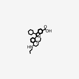 CCCN[C@@H]1CCN2CCn3c(c(C4CCCCC4)c4ccc(C(=O)O)cc43)-c3cccc1c32